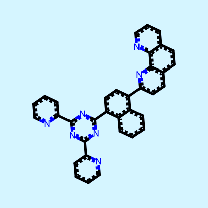 c1ccc(-c2nc(-c3ccccn3)nc(-c3ccc(-c4ccc5ccc6cccnc6c5n4)c4ccccc34)n2)nc1